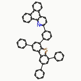 c1ccc(-c2cc(-c3ccccc3)c3sc4c(-c5cccc(-c6ccc7c8ccccc8c8ccccc8c7n6)c5)cc(-c5ccccc5)cc4c3c2)cc1